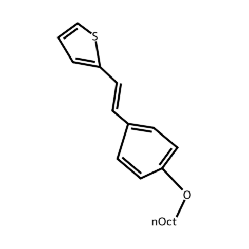 CCCCCCCCOc1ccc(C=Cc2cccs2)cc1